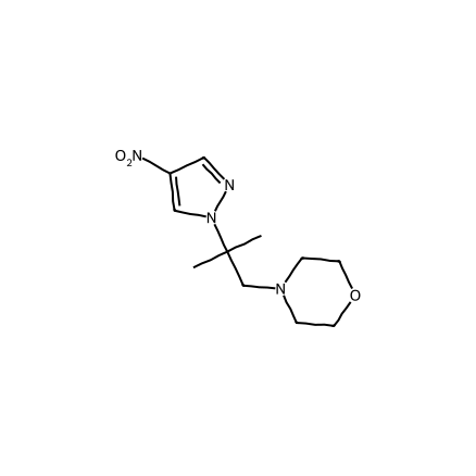 CC(C)(CN1CCOCC1)n1cc([N+](=O)[O-])cn1